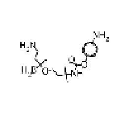 BC(C)(CCN)OCCC(C)(C)NC(=O)Oc1ccc(N)cc1